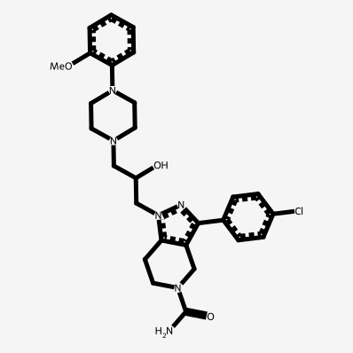 COc1ccccc1N1CCN(CC(O)Cn2nc(-c3ccc(Cl)cc3)c3c2CCN(C(N)=O)C3)CC1